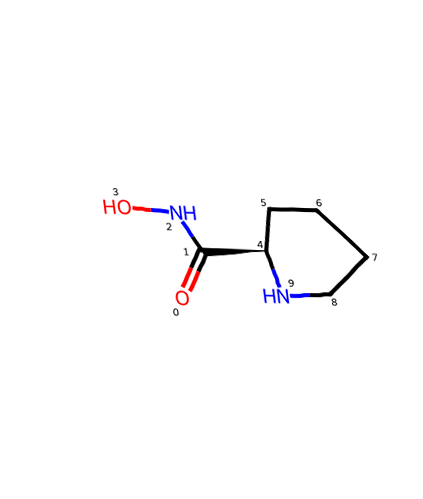 O=C(NO)[C@H]1CCCCN1